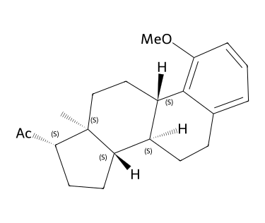 COc1cccc2c1[C@H]1CC[C@]3(C)[C@@H](C(C)=O)CC[C@H]3[C@@H]1CC2